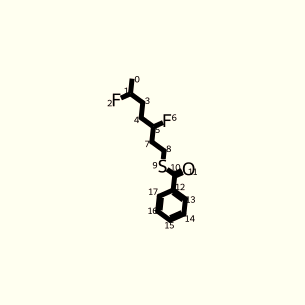 CC(F)CCC(F)CCSC(=O)c1ccccc1